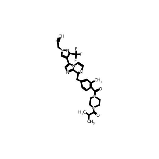 C#CCn1cc(-c2cnc3c(Cc4ccc(C(=O)N5CCN(C(=O)C(C)C)CC5)c(C)c4)nccn23)c(C(F)(F)F)n1